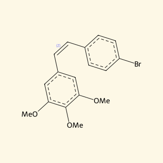 COc1cc(/C=C\c2ccc(Br)cc2)cc(OC)c1OC